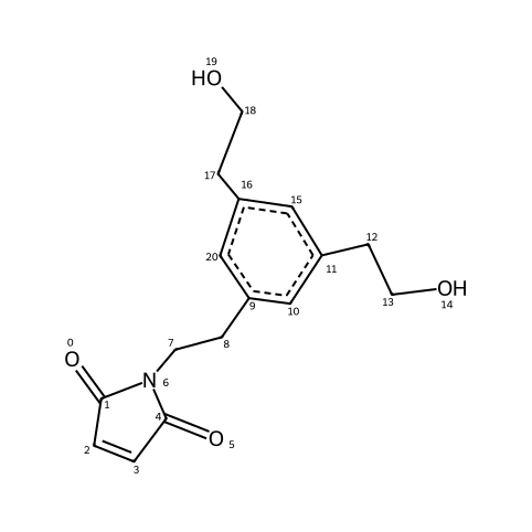 O=C1C=CC(=O)N1CCc1cc(CCO)cc(CCO)c1